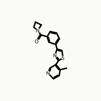 Cc1ccncc1-c1nc(-c2cccc(C(=O)N3CCC3)c2)cs1